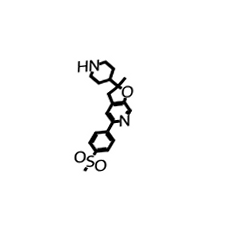 CC1(C2CCNCC2)Cc2cc(-c3ccc(S(C)(=O)=O)cc3)ncc2O1